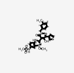 COP1N=C(c2c(O)c(-c3ccsc3)nn(Cc3ccc(F)c(C)c3)c2=O)Nc2ccc(NS(C)(=O)=O)cc21